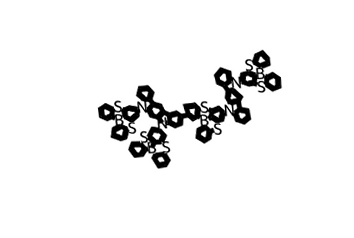 c1ccc2c(c1)Sc1cc(-n3c4ccccc4c4cc5c(cc43)c3ccccc3n5-c3cc4c5c(c3)Sc3ccc(-c6ccc7c(c6)c6cc8c9ccccc9n(-c9cc%10c%11c(c9)Sc9ccccc9B%11c9ccccc9S%10)c8cc6n7-c6cc7c8c(c6)Sc6ccccc6B8c6ccccc6S7)cc3B5c3ccccc3S4)cc3c1B2c1ccccc1S3